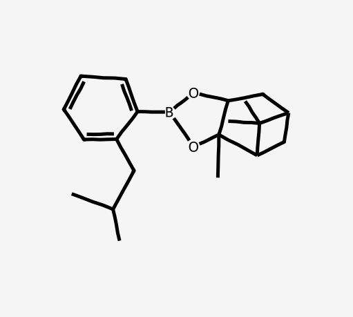 CC(C)Cc1ccccc1B1OC2CC3CC(C3(C)C)C2(C)O1